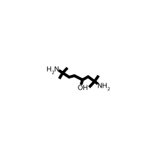 CC(C)(N)CCC(O)CC(C)(C)N